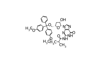 COc1ccc(C(OC[C@@H]2C[C@H](O)[C@H](n3cnc4c(=O)[nH]c(NC(=O)C(C)C)nc43)O2)(c2ccccc2)c2ccc(OC)cc2)cc1